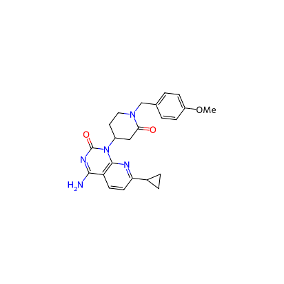 COc1ccc(CN2CCC(n3c(=O)nc(N)c4ccc(C5CC5)nc43)CC2=O)cc1